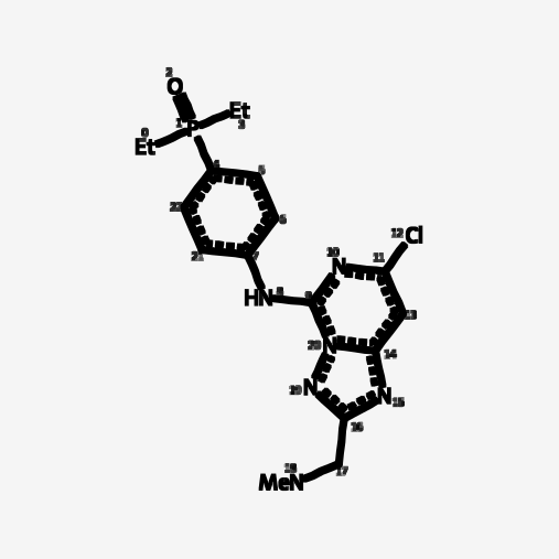 CCP(=O)(CC)c1ccc(Nc2nc(Cl)cc3nc(CNC)nn23)cc1